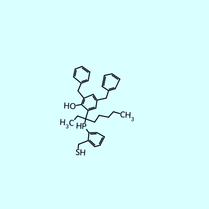 CCCCCC(CC)(Pc1ccccc1CS)c1cc(Cc2ccccc2)cc(Cc2ccccc2)c1O